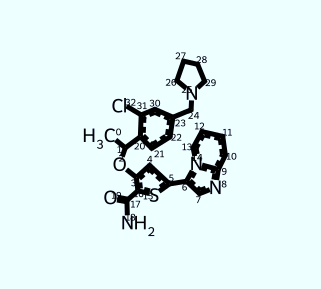 CC(Oc1cc(-c2cnc3ccccn23)sc1C(N)=O)c1ccc(CN2CCCC2)cc1Cl